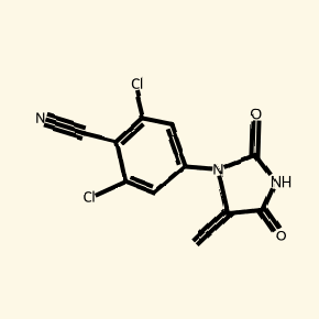 C=C1C(=O)NC(=O)N1c1cc(Cl)c(C#N)c(Cl)c1